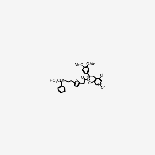 COc1ccc([C@H](Cc2c(Cl)c[n+]([O-])cc2Cl)OC(=O)Cc2ccc(CCNC(C(=O)O)c3ccccc3)s2)cc1OC